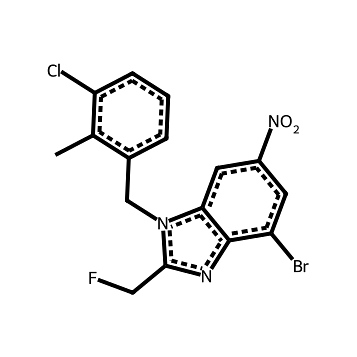 Cc1c(Cl)cccc1Cn1c(CF)nc2c(Br)cc([N+](=O)[O-])cc21